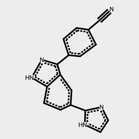 N#Cc1ccc(-c2n[nH]c3ccc(-c4ncc[nH]4)cc23)cc1